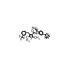 Cc1sc(C)c(C(=O)NC2(c3ccc(-c4nn[n-]n4)cc3)CC2)c1Cc1cccc(C(F)(F)F)c1.[Na+]